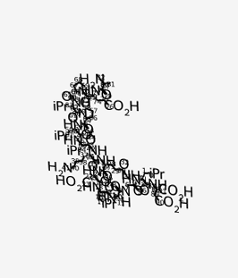 CC(C)C[C@H](NC(=O)CNC(=O)[C@H](C)NC(=O)[C@H](CC(C)C)NC(=O)[C@H](CC(=O)O)NC(=O)[C@H](CCC(N)=O)NC(=O)[C@H](CCCCN)NC(=O)[C@@H](NC(=O)[C@H](CC(C)C)NC(=O)[C@@H]1CCCN1C(=O)[C@@H](NC(=O)[C@@H]1CCCN1C(=O)[C@H](CCC(=O)O)NC(=O)[C@H](C)N)C(C)C)C(C)C)C(=O)N[C@@H](CC(=O)O)C(=O)O